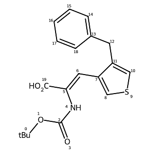 CC(C)(C)OC(=O)NC(=Cc1cscc1Cc1ccccc1)C(=O)O